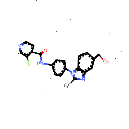 O=C(Nc1ccc(-n2c(C(F)(F)F)nc3cc(CO)ccc32)cc1)c1ccncc1F